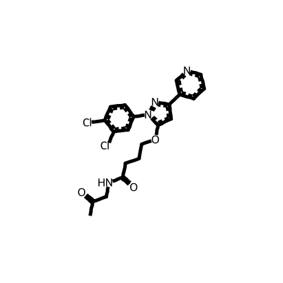 CC(=O)CNC(=O)CCCOc1cc(-c2cccnc2)nn1-c1ccc(Cl)c(Cl)c1